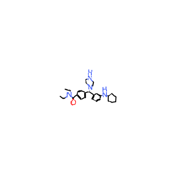 CCN(CC)C(=O)c1ccc([C@@H](c2cccc(NC3CCCCC3)c2)N2CCNCC2)cc1